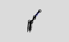 O=C/C=C/C=C/COOCCCOC(=O)C(F)(F)C(F)(F)C(F)(F)C(F)(F)C(F)(F)C(F)F